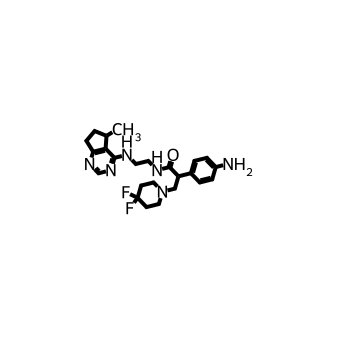 CC1CCc2ncnc(NCCNC(=O)C(CN3CCC(F)(F)CC3)c3ccc(N)cc3)c21